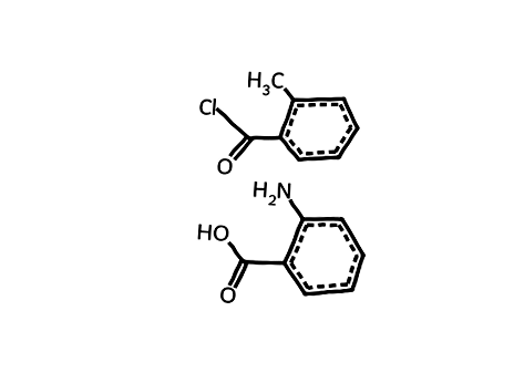 Cc1ccccc1C(=O)Cl.Nc1ccccc1C(=O)O